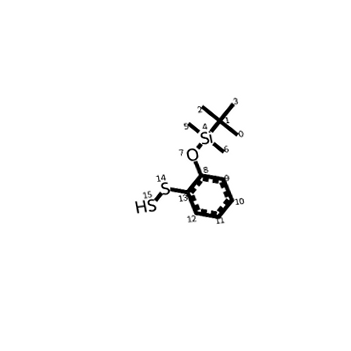 CC(C)(C)[Si](C)(C)Oc1ccccc1SS